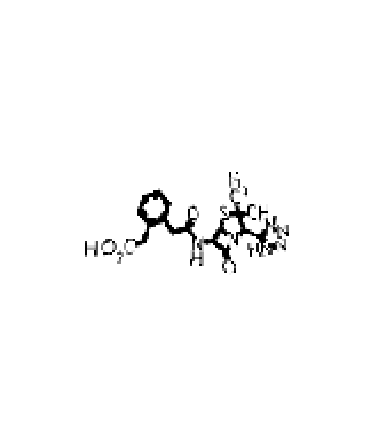 CC1(C)SC2C(NC(=O)Cc3ccccc3CC(=O)O)C(=O)N2C1c1nnn[nH]1